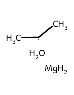 C[CH]C.O.[MgH2]